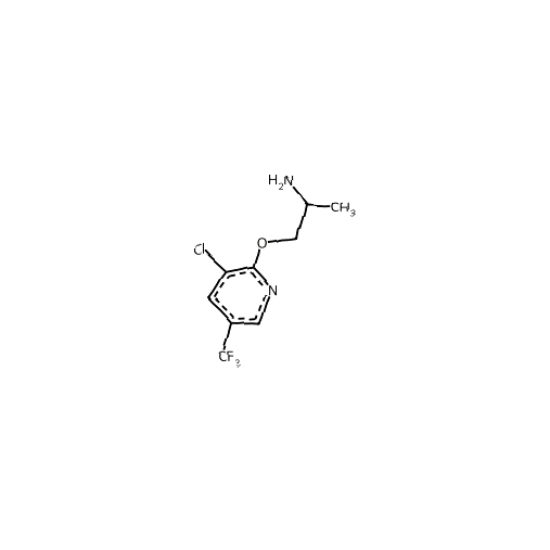 CC(N)COc1ncc(C(F)(F)F)cc1Cl